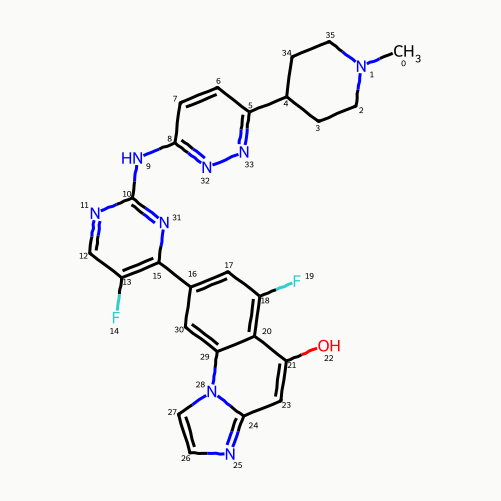 CN1CCC(c2ccc(Nc3ncc(F)c(-c4cc(F)c5c(O)cc6nccn6c5c4)n3)nn2)CC1